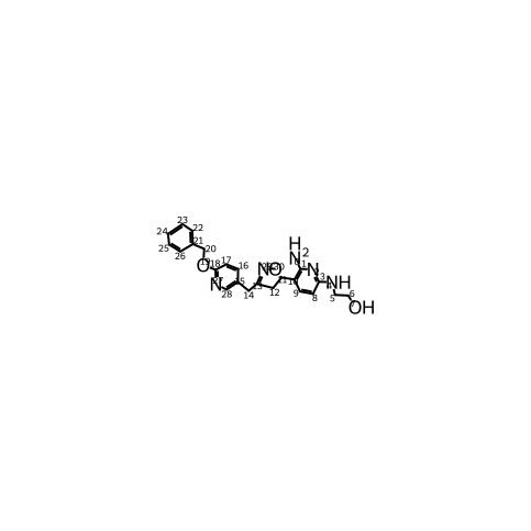 Nc1nc(NCCO)ccc1C1CC(Cc2ccc(OCc3ccccc3)nc2)=NO1